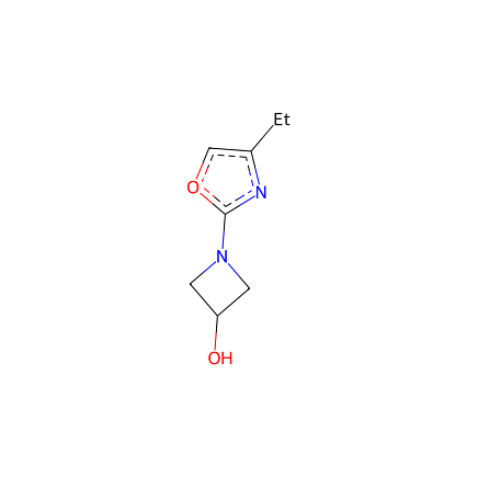 CCc1coc(N2CC(O)C2)n1